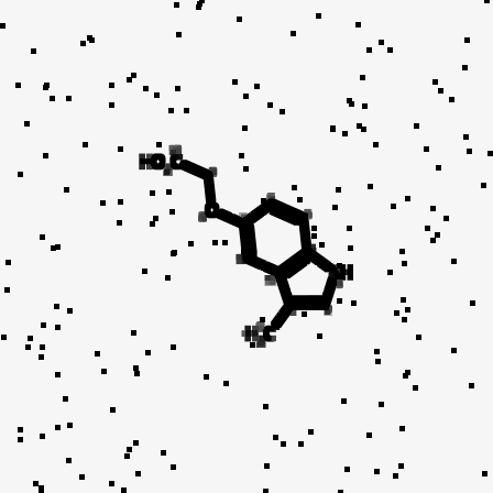 [CH2]c1c[nH]c2ccc(OCC(=O)O)cc12